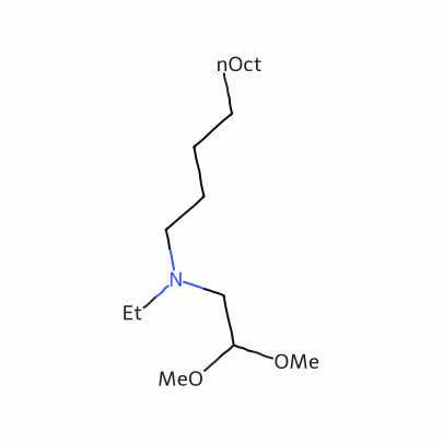 CCCCCCCCCCCCN(CC)CC(OC)OC